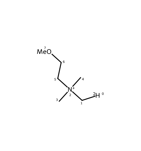 [2H]C[N+](C)(C)CCOC